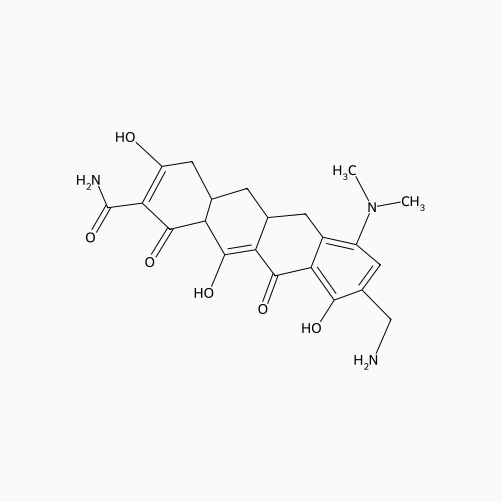 CN(C)c1cc(CN)c(O)c2c1CC1CC3CC(O)=C(C(N)=O)C(=O)C3C(O)=C1C2=O